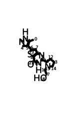 Cc1[nH]ncc1-c1cc2nc(C3CCCN3CCO)[nH]c(=O)c2s1